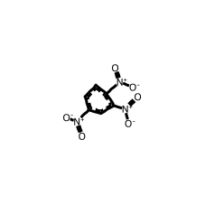 O=[N+]([O-])c1ccc([N+](=O)[O-])c([N+](=O)[O-])c1